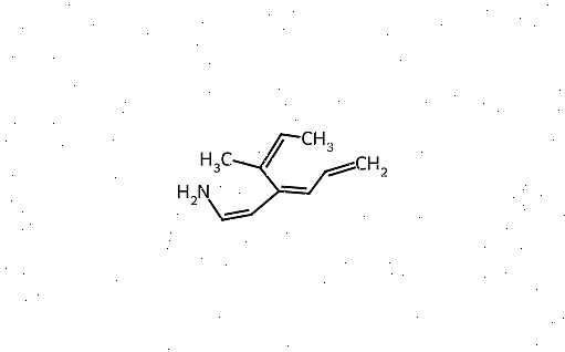 C=C/C=C(/C=C\N)C(\C)=C/C